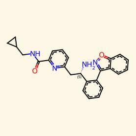 N[C@@H](Cc1cccc(C(=O)NCC2CC2)n1)c1ccccc1-c1noc2ccccc12